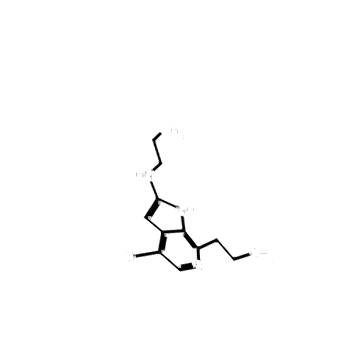 CCCNc1cc2c(Cl)cnc(CCC)c2[nH]1